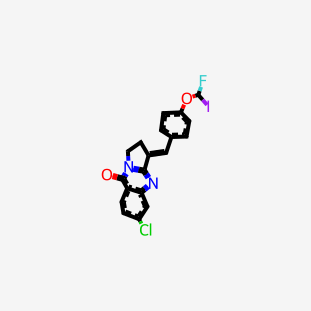 O=c1c2ccc(Cl)cc2nc2n1CC/C2=C\c1ccc(OC(F)I)cc1